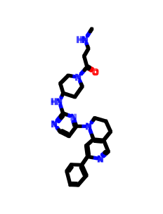 CNCCC(=O)N1CCC(Nc2nccc(N3CCCc4cnc(-c5ccccc5)cc43)n2)CC1